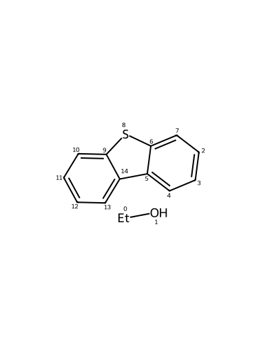 CCO.c1ccc2c(c1)sc1ccccc12